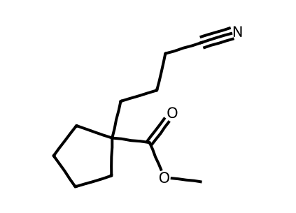 COC(=O)C1(CCCC#N)CCCC1